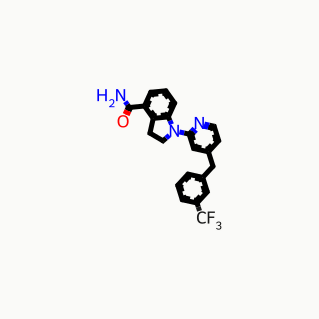 NC(=O)c1cccc2c1CCN2c1cc(Cc2cccc(C(F)(F)F)c2)ccn1